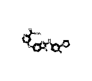 CNC(=O)c1cc(Oc2ccc3c(c2)nc(Nc2ccc(C)c(N4CCCC4)c2)n3C)ccn1